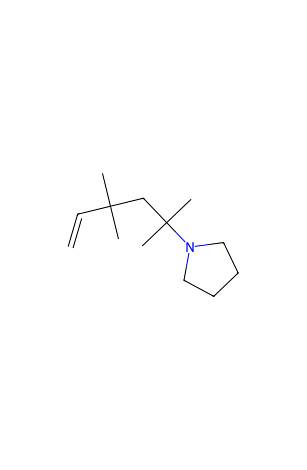 C=CC(C)(C)CC(C)(C)N1CCCC1